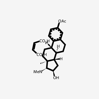 CN[C@H]1[C@H](O)C[C@H]2[C@@H]3CCc4cc(OC(C)=O)ccc4[C@H]3CC[C@@]21C.O=C(O)/C=C\C(=O)O